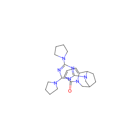 O=c1cccc2n1CC1CCC2N(c2nc(N3CCCC3)nc(N3CCCC3)n2)C1